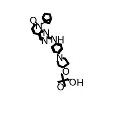 O=c1ccc2cnc(Nc3ccc(N4CCC(OCC5(CO)COC5)CC4)cc3)nc2n1[C@@H]1CC2CCC1C2